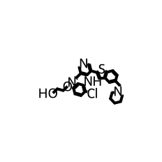 N#Cc1cncc(-c2cc3cc(CN4CCCCC4)ccc3s2)c1Nc1cc(OCCO)ccc1Cl